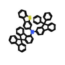 c1ccc(C2(c3ccccc3)c3ccccc3-c3ccc(N(c4ccc5c(c4)sc4ccccc45)c4cccc5c4-c4ccccc4C54c5ccccc5-c5ccccc54)cc32)cc1